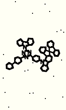 c1ccc(-c2ccc(-c3nc(-c4ccc(-n5c6ccccc6c6ccc7c(c65)-c5ccccc5C75c6ccccc6-c6ccccc65)cc4)nc(-n4c5ccccc5c5ccccc54)n3)cc2)cc1